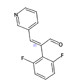 O=C/C(=C\c1cccnc1)c1c(F)cccc1F